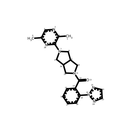 Cc1cnc(C)c(N2CC3CN(C(=O)c4ccccc4-n4nccn4)CC3C2)n1